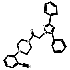 N#Cc1ccccc1N1CCN(C(=O)Cn2nc(-c3ccccc3)cc2-c2ccccc2)CC1